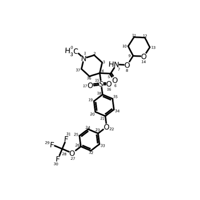 CN1CCC(C(=O)NOC2CCCCO2)(S(=O)(=O)c2ccc(Oc3ccc(OC(F)(F)F)cc3)cc2)CC1